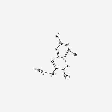 CC(Oc1ccc(Br)cc1Br)C(=O)NC#N